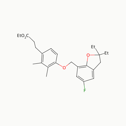 CCOC(=O)CCc1ccc(OCc2cc(F)cc3c2OC(CC)(CC)C3)c(C)c1C